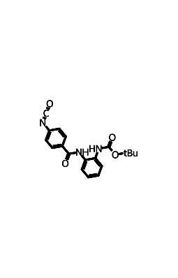 CC(C)(C)OC(=O)Nc1ccccc1NC(=O)c1ccc(N=C=O)cc1